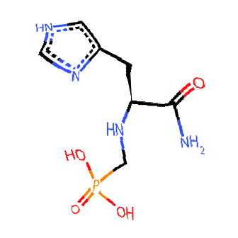 NC(=O)[C@H](Cc1c[nH]cn1)NCP(=O)(O)O